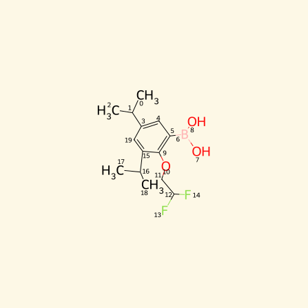 CC(C)c1cc(B(O)O)c(OCC(F)F)c(C(C)C)c1